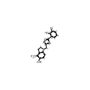 N#Cc1ccc2c(c1C(F)(F)F)CCN2Cc1noc(-c2cccc(Cl)c2F)n1